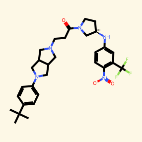 CC(C)(C)c1ccc(N2CC3CN(CCC(=O)N4CC[C@@H](Nc5ccc([N+](=O)[O-])c(C(F)(F)F)c5)C4)CC3C2)cc1